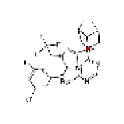 Cc1cc(N2CC3CCC(C2)C3Nc2nc(Oc3cc(F)cc(Cl)c3)n(CC(F)(F)F)n2)ncn1